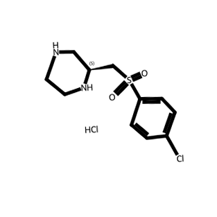 Cl.O=S(=O)(C[C@@H]1CNCCN1)c1ccc(Cl)cc1